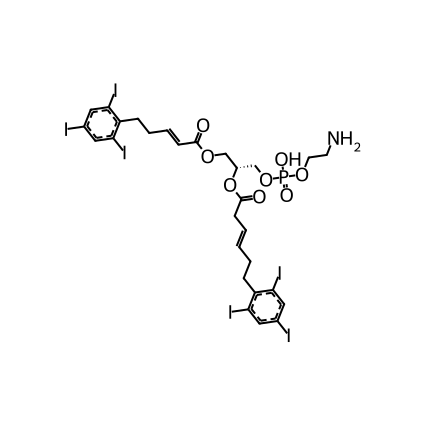 NCCOP(=O)(O)OC[C@@H](COC(=O)C=CCCc1c(I)cc(I)cc1I)OC(=O)CC=CCCc1c(I)cc(I)cc1I